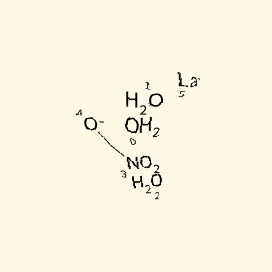 O.O.O.O=[N+]([O-])[O-].[La]